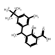 Cc1cc(C(C)c2cccc(C(=O)O)c2O)cc(C(C)(C)C)c1